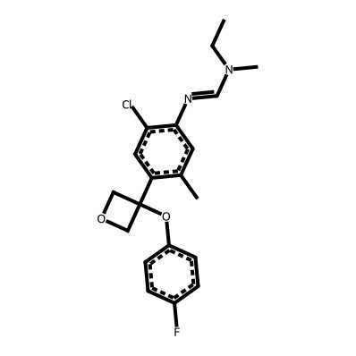 CCN(C)C=Nc1cc(C)c(C2(Oc3ccc(F)cc3)COC2)cc1Cl